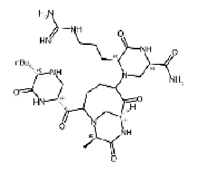 CCCC[C@@H]1NC[C@H](C(=O)C2CCC(N3C[C@H](C(N)=O)NC(=O)[C@@H]3CCCNC(=N)N)C(=O)[C@@H]3CN2[C@H](C)C(=O)N3)NC1=O